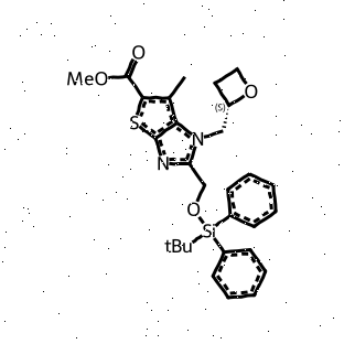 COC(=O)c1sc2nc(CO[Si](c3ccccc3)(c3ccccc3)C(C)(C)C)n(C[C@@H]3CCO3)c2c1C